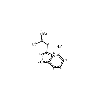 CCCCC(CC)Cc1c[cH-]c2ccccc12.[Li+]